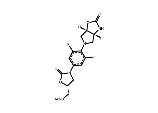 CC(=O)NC[C@H]1CN(c2cc(F)c(N3C[C@@H]4OC(=O)N[C@@H]4C3)c(F)c2)C(=O)O1